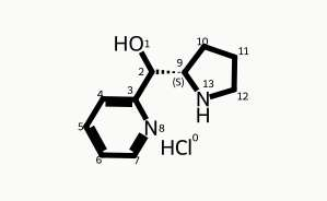 Cl.OC(c1ccccn1)[C@@H]1CCCN1